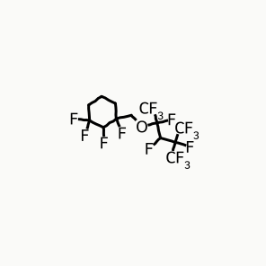 FC1C(F)(F)CCCC1(F)COC(F)(C(F)C(F)(C(F)(F)F)C(F)(F)F)C(F)(F)F